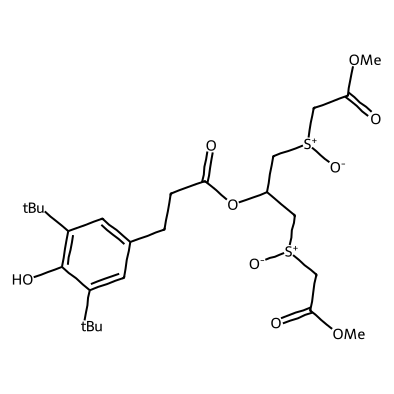 COC(=O)C[S+]([O-])CC(C[S+]([O-])CC(=O)OC)OC(=O)CCc1cc(C(C)(C)C)c(O)c(C(C)(C)C)c1